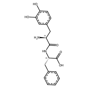 N[C@@H](Cc1ccc(O)c(O)c1)C(=O)N[C@@H](Cc1ccccc1)C(=O)O